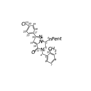 CCCCCC1CN(Cc2ccccc2C)C(=O)c2cc(-c3ccc(Cl)cc3)nn21